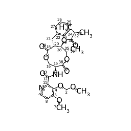 COCOc1c(OC)ccnc1C(=O)N[C@H]1COC(=O)[C@H](Cc2ccccc2)[C@@H](OC(=O)C(C)C)[C@H](C)OC1=O